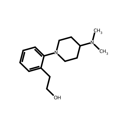 CN(C)C1CCN(c2ccccc2CCO)CC1